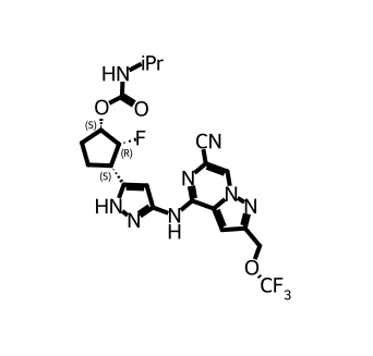 CC(C)NC(=O)O[C@H]1CC[C@@H](c2cc(Nc3nc(C#N)cn4nc(COC(F)(F)F)cc34)n[nH]2)[C@H]1F